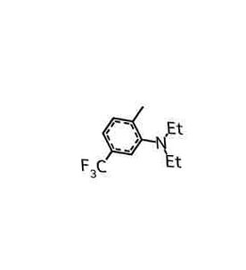 CCN(CC)c1cc(C(F)(F)F)ccc1C